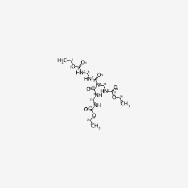 CCOC(=O)NCNC(=O)N(CNC(=O)OCC)C(=O)NCNC(=O)OCC